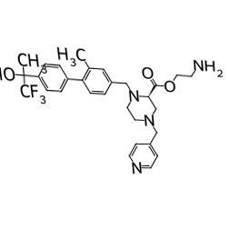 Cc1cc(CN2CCN(Cc3ccncc3)C[C@@H]2C(=O)OCCN)ccc1-c1ccc(C(C)(O)C(F)(F)F)cc1